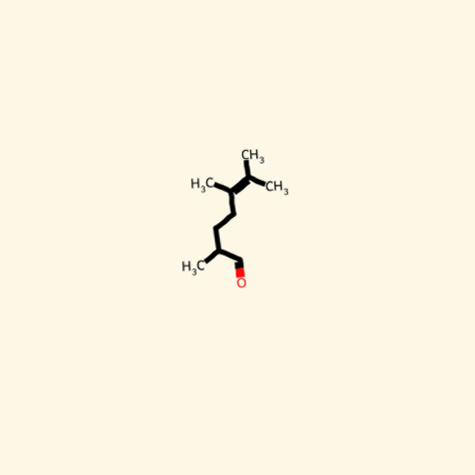 CC(C)=C(C)CCC(C)C=O